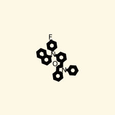 Fc1ccc(N(c2cccc3ccccc23)c2cccc3c2oc2c4ccccc4n(-c4ccccc4)c32)cc1